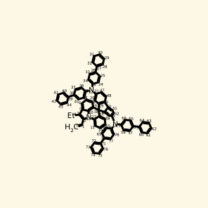 C=Cc1c(CC)c2cccc3c2n1-c1ccccc1C31c2cc(N(c3ccc(-c4ccccc4)cc3)c3ccc(-c4ccccc4)cc3)ccc2-c2ccc(N(c3ccc(-c4ccccc4)cc3)c3ccc(-c4ccccc4)cc3)cc21